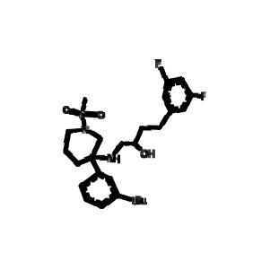 CC(C)(C)c1cccc(C2(NCC(O)CCc3cc(F)cc(F)c3)CCCN(S(C)(=O)=O)C2)c1